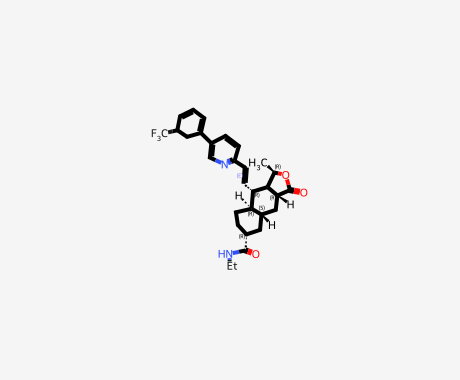 CCNC(=O)[C@@H]1CC[C@@H]2[C@@H](C1)C[C@H]1C(=O)O[C@H](C)C1[C@H]2/C=C/c1ccc(C2=CC=CC(C(F)(F)F)C2)cn1